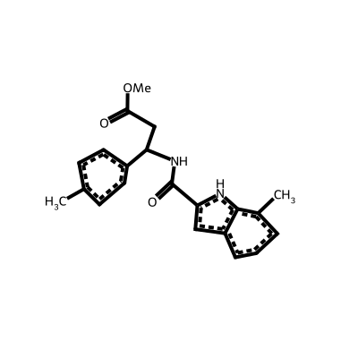 COC(=O)CC(NC(=O)c1cc2cccc(C)c2[nH]1)c1ccc(C)cc1